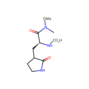 CON(C)C(=O)[C@H](CC1CCNC1=O)NC(=O)O